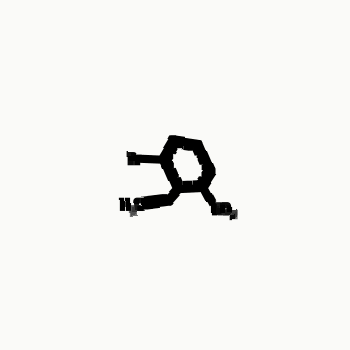 C=Cc1c(Br)cccc1[N+](=O)[O-]